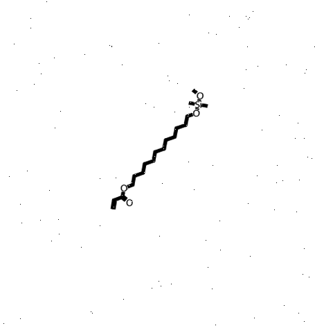 C=CC(=O)OCCCCCCCCCCCCO[Si](C)(C)OC